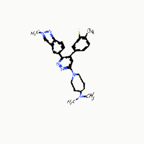 CN(C)C1CCN(c2cc(-c3ccc(C#N)c(F)c3)c(-c3ccc4nn(C)cc4c3)nn2)CC1